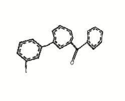 O=C(c1ccccc1)c1cccc(-c2cccc(I)c2)c1